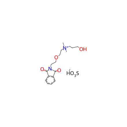 CS(=O)(=O)O.C[N+](C)(CCCO)CCOCCN1C(=O)c2ccccc2C1=O